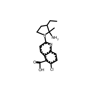 CCC1CCN(c2ccc3c(C(=O)O)c(Cl)ccc3n2)C1(C)N